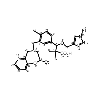 CC[C@@H]1CN(Cc2cc(C(OCc3cn(CC)nn3)C(C)(C)C(=O)O)ccc2C)Cc2ncccc2O1